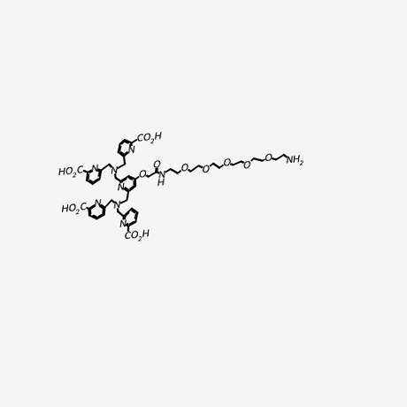 NCCOCCOCCOCCOCCOCCNC(=O)COc1cc(CN(Cc2cccc(C(=O)O)n2)Cc2cccc(C(=O)O)n2)nc(CN(Cc2cccc(C(=O)O)n2)Cc2cccc(C(=O)O)n2)c1